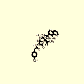 CC1(C)S[C@@H]2[C@H](NC(=O)Cc3ccc(O)cc3)C(=O)N2[C@@]1(NC(=O)c1cnc2cccnc2c1O)C(=O)O